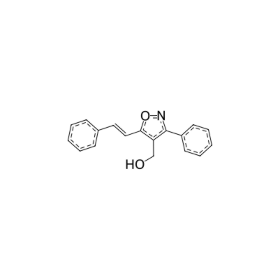 OCc1c(-c2ccccc2)noc1C=Cc1ccccc1